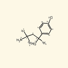 [2H]C([2H])(N)CC([2H])(O)c1ccc(Cl)cc1